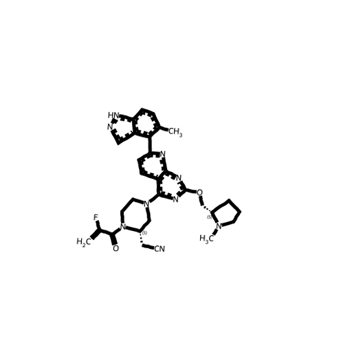 C=C(F)C(=O)N1CCN(c2nc(OC[C@@H]3CCCN3C)nc3nc(-c4c(C)ccc5[nH]ncc45)ccc23)C[C@@H]1CC#N